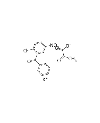 CC(=O)C(=O)[O-].O=C(c1ccccc1)c1cc([N+](=O)[O-])ccc1Cl.[K+]